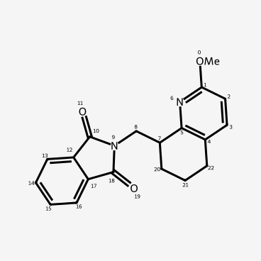 COc1ccc2c(n1)C(CN1C(=O)c3ccccc3C1=O)CCC2